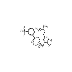 COc1c2c(cc(CCN(C)C)c1C(C)CC(=O)c1cccc(C(F)(F)F)c1)OCO2